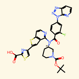 CC(C)(C)OC(=O)N1CCC[C@@H](N(C(=O)c2ccc(-n3nnc4cccnc43)cc2F)c2nccc3sc(-c4csc(C(=O)O)n4)cc23)C1